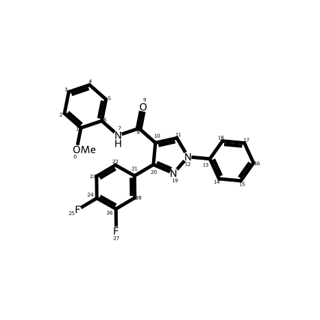 COc1ccccc1NC(=O)c1cn(-c2ccccc2)nc1-c1ccc(F)c(F)c1